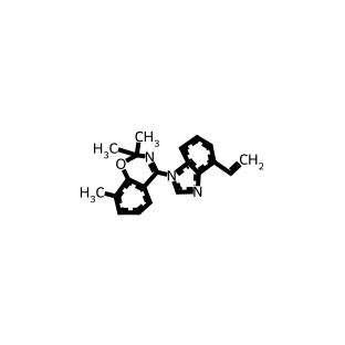 C=Cc1cccc2c1ncn2C1=NC(C)(C)Oc2c(C)cccc21